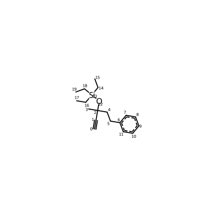 C#CC(C)(CCc1ccccc1)O[Si](CC)(CC)CC